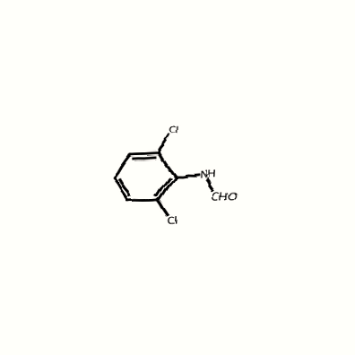 O=CNc1c(Cl)cccc1Cl